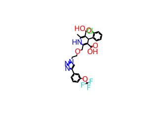 CC1=C(C(=O)O)C(c2ccccc2Cl)C(C(=O)O)=C(COCCn2cc(-c3cccc(OC(F)(F)F)c3)nn2)N1